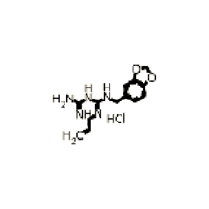 C=CCN=C(NCc1ccc2c(c1)OCO2)NC(=N)N.Cl